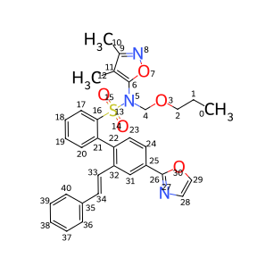 CCCOCN(c1onc(C)c1C)S(=O)(=O)c1ccccc1-c1ccc(-c2ncco2)cc1/C=C/c1ccccc1